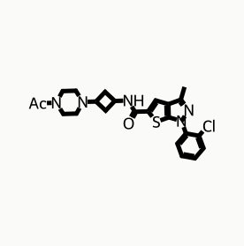 CC(=O)N1CCN(C2CC(NC(=O)c3cc4c(C)nn(-c5ccccc5Cl)c4s3)C2)CC1